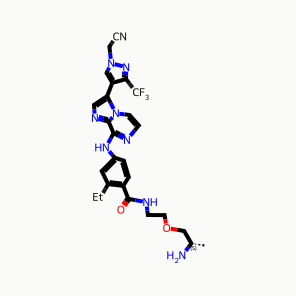 CCc1cc(Nc2nccn3c(-c4cn(CC#N)nc4C(F)(F)F)cnc23)ccc1C(=O)NCCOC[C@H](C)N